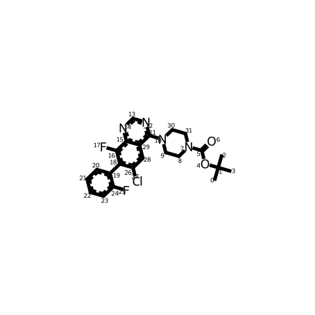 CC(C)(C)OC(=O)N1CCN(c2ncnc3c(F)c(-c4ccccc4F)c(Cl)cc23)CC1